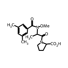 CON(C(=O)c1cc(C)cc(C)c1)C(C)C(=O)N1CCCC1C(=O)O